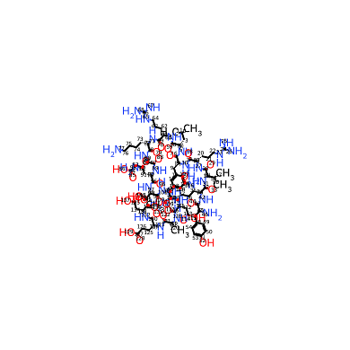 CC(C)C[C@H](NC(=O)[C@H](Cc1ccccc1)NC(=O)[C@H](CCCNC(=N)N)NC(=O)[C@@H](NC(=O)[C@H](CCCNC(=N)N)NC(=O)[C@@H](N)Cc1ccc(O)cc1)C(C)C)C(=O)N[C@@H](CCCNC(=N)N)C(=O)N[C@@H](CCCCN)C(=O)N[C@@H](CCC(=O)O)C(=O)N[C@@H](CC(N)=O)C(=O)N[C@H](C(=O)N[C@@H](CCC(N)=O)C(=O)N[C@@H](CC(=O)O)C(=O)N[C@@H](C)C(=O)N[C@@H](CCC(=O)O)C(=O)N[C@@H](CC(=O)O)C(=O)O)[C@@H](C)O